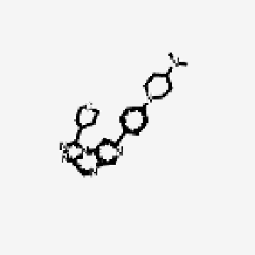 CN(C)C1CCN(c2ccc(-c3cc4c(cn3)ncc3nnc(C5CCOCC5)n34)cc2)CC1